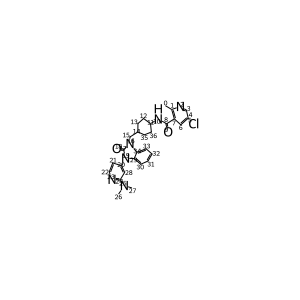 Cc1ncc(Cl)cc1C(=O)NC1CCC(Cn2c(=O)n(-c3ccnc(N(C)C)c3)c3ccccc32)CC1